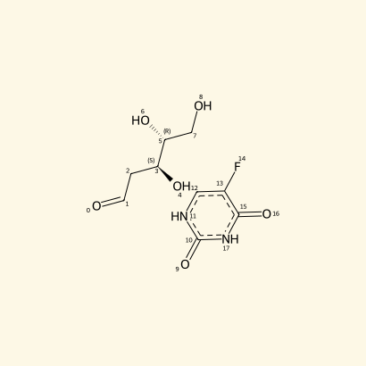 O=CC[C@H](O)[C@H](O)CO.O=c1[nH]cc(F)c(=O)[nH]1